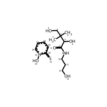 CC(C)(CO)C(O)C(=O)NCCCO.On1ccccc1=S